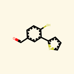 O=Cc1ccc(S)c(-c2cccs2)c1